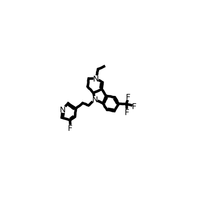 CCN1C=C2c3cc(C(F)(F)F)ccc3N(CCc3cncc(F)c3)C2CC1